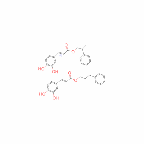 CC(COC(=O)/C=C/c1ccc(O)c(O)c1)c1ccccc1.O=C(C=Cc1ccc(O)c(O)c1)OCCCc1ccccc1